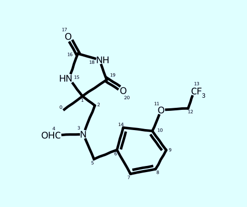 CC1(CN(C=O)Cc2cccc(OCC(F)(F)F)c2)NC(=O)NC1=O